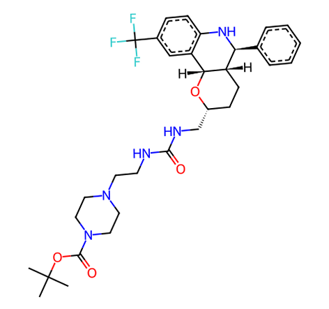 CC(C)(C)OC(=O)N1CCN(CCNC(=O)NC[C@H]2CC[C@@H]3[C@H](O2)c2cc(C(F)(F)F)ccc2N[C@H]3c2ccccc2)CC1